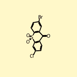 O=C1c2cc(Br)ccc2S(=O)(=O)c2cc(Cl)ccc21